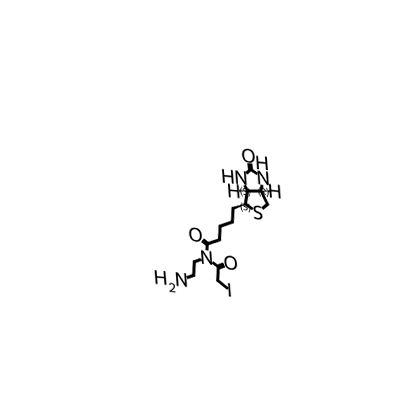 NCCN(C(=O)CI)C(=O)CCCC[C@@H]1SC[C@@H]2NC(=O)N[C@@H]21